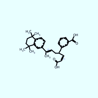 C/C(=C\CC(/C=C\C(=O)O)c1cccc(C(=O)O)c1)c1ccc2c(c1)C(C)(C)CCC2(C)C